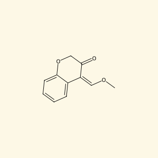 COC=C1C(=O)COc2ccccc21